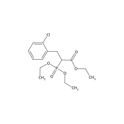 CCOC(=O)C(Cc1ccccc1Cl)P(=O)(OCC)OCC